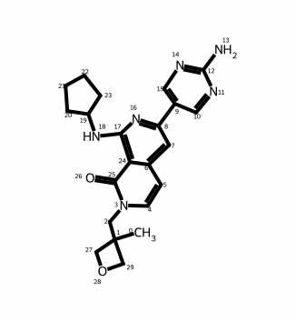 CC1(Cn2ccc3cc(-c4cnc(N)nc4)nc(NC4CCCC4)c3c2=O)COC1